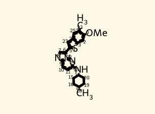 COc1cc2sc(-c3cnc4ccc(N[C@H]5CC[C@H](C)CC5)nn34)cc2cc1C